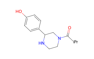 CC(C)C(=O)N1CCNC(c2ccc(O)cc2)C1